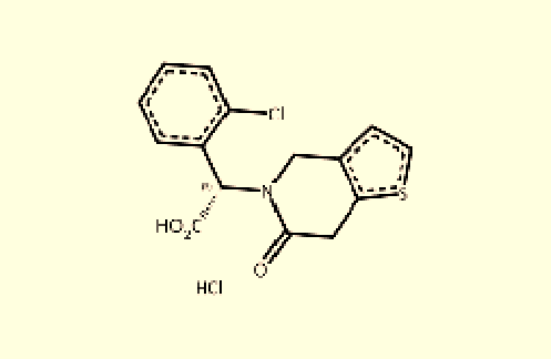 Cl.O=C(O)[C@H](c1ccccc1Cl)N1Cc2ccsc2CC1=O